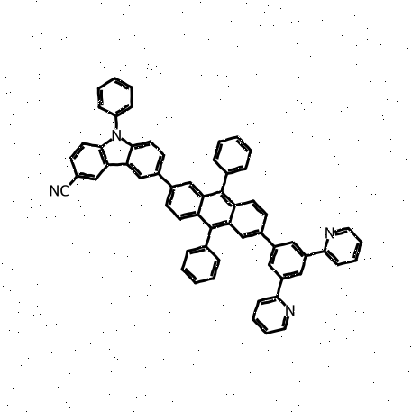 N#Cc1ccc2c(c1)c1cc(-c3ccc4c(-c5ccccc5)c5cc(-c6cc(-c7ccccn7)cc(-c7ccccn7)c6)ccc5c(-c5ccccc5)c4c3)ccc1n2-c1ccccc1